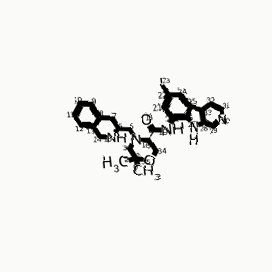 CC1(C)CN(CC2Cc3ccccc3CN2)[C@H](C(=O)Nc2cc(I)cc3c2[nH]c2cnccc23)CO1